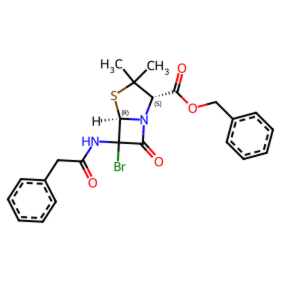 CC1(C)S[C@H]2N(C(=O)C2(Br)NC(=O)Cc2ccccc2)[C@H]1C(=O)OCc1ccccc1